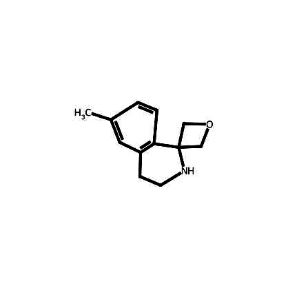 Cc1ccc2c(c1)CCNC21COC1